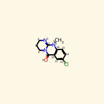 CN1C2=NCCCN2C(=O)c2cc(Cl)ccc21